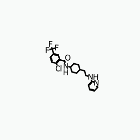 O=C(NC1CCC(CCNc2ccccn2)CC1)c1cc(C(F)(F)F)ccc1Cl